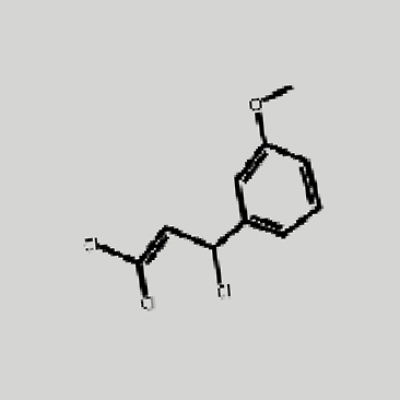 COc1cccc(C(Cl)C=C(Cl)Cl)c1